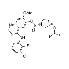 COc1cc2ncnc(Nc3cccc(Cl)c3F)c2cc1OC(=O)N1CC[C@H](OC(F)F)C1